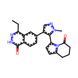 CCc1n[nH]c(=O)c2ccc(-c3cnn(C)c3-c3ccc4n3C(=O)CCC4)cc12